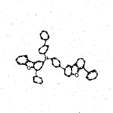 c1ccc(-c2ccc(N(c3ccc(-c4ccc5oc6c(-c7ccccc7)cccc6c5c4)cc3)c3cc(-c4ccccc4)c4oc5ccccc5c4c3)cc2)cc1